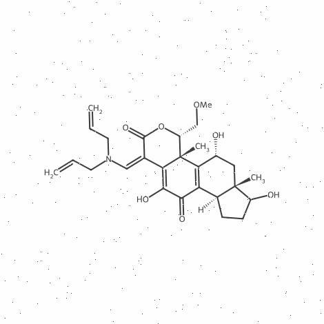 C=CCN(/C=C1\C(=O)O[C@H](COC)[C@@]2(C)C1=C(O)C(=O)C1=C2[C@H](O)C[C@]2(C)C(O)CC[C@@H]12)CC=C